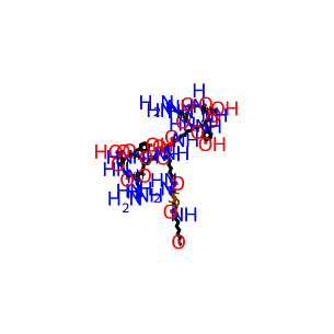 COCCCCCCNC(=O)CCSSCC(N)C(=O)NCCCCCC(=O)NC(CCC(=O)NCCCCC1NC(=O)[C@@H](CCCNC(=N)N)NC(=O)CNC(=O)[C@@H](CC(=O)O)NC(=O)[C@H](Cc2ccc(O)cc2)NC1=O)C(=O)NCCCCC1CC(=O)[C@@H](CCCNC(=N)N)NC(=O)CNC(=O)[C@@H](CC(=O)O)NC(=O)[C@H](Cc2ccc(O)cc2)NC1=O